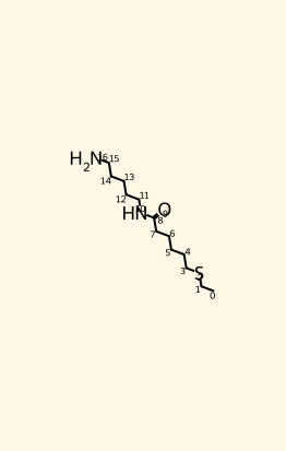 CCSCCCCCC(=O)NCCCCCN